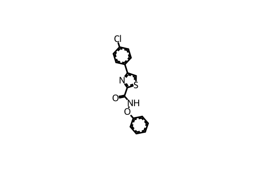 O=C(NOc1ccccc1)c1nc(-c2ccc(Cl)cc2)cs1